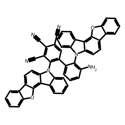 N#Cc1cc(-c2cccc(N)c2-n2c3ccccc3c3c4oc5ccccc5c4ccc32)c(-n2c3ccccc3c3c4oc5ccccc5c4ccc32)c(C#N)c1C#N